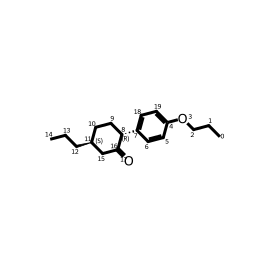 CCCOc1ccc([C@H]2CC[C@H](CCC)CC2=O)cc1